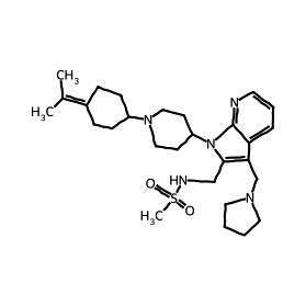 CC(C)=C1CCC(N2CCC(n3c(CNS(C)(=O)=O)c(CN4CCCC4)c4cccnc43)CC2)CC1